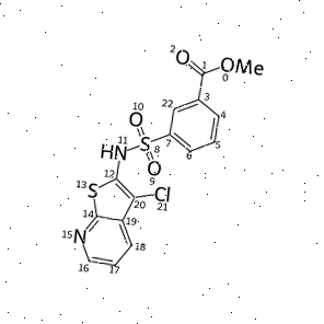 COC(=O)c1cccc(S(=O)(=O)Nc2sc3ncccc3c2Cl)c1